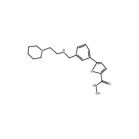 O=C(NO)c1ccc(-c2cccc(CNCCN3CCCCC3)c2)o1